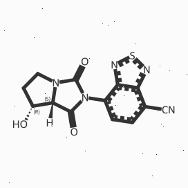 N#Cc1ccc(N2C(=O)[C@@H]3[C@H](O)CCN3C2=O)c2nsnc12